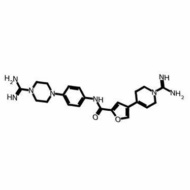 N=C(N)N1CC=C(c2coc(C(=O)Nc3ccc(N4CCN(C(=N)N)CC4)cc3)c2)CC1